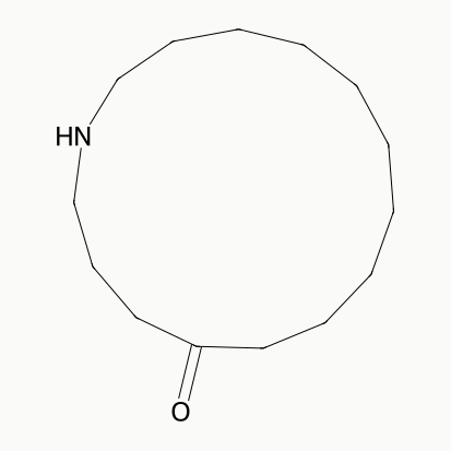 O=C1CCCCCCCCCCNCCC1